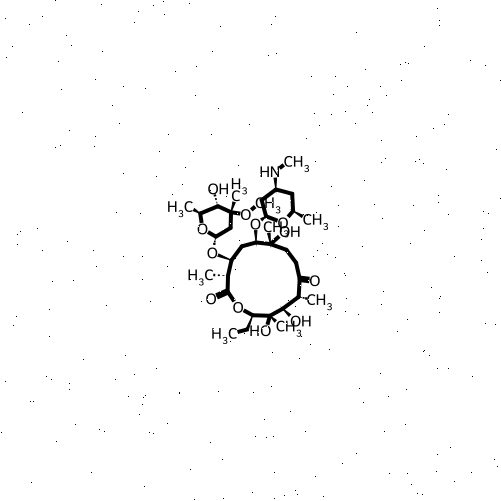 CC[C@H]1OC(=O)[C@H](C)[C@@H](O[C@H]2C[C@@](C)(OC)[C@@H](O)[C@H](C)O2)C[C@@H](O[C@H]2C[C@@H](NC)C[C@@H](C)O2)[C@](C)(O)CCC(=O)[C@H](C)[C@@H](O)[C@]1(C)O